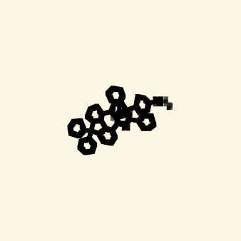 Nc1ccc(-c2ccc(-c3cccc4c3-c3c(-c5nc(-c6ccccc6)nc(-c6ccccc6)n5)cccc3C4(c3ccccc3)c3ccccc3)cc2)cc1